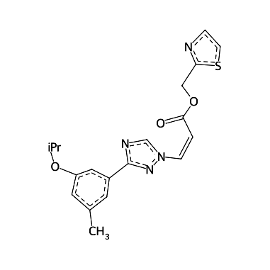 Cc1cc(OC(C)C)cc(-c2ncn(/C=C\C(=O)OCc3nccs3)n2)c1